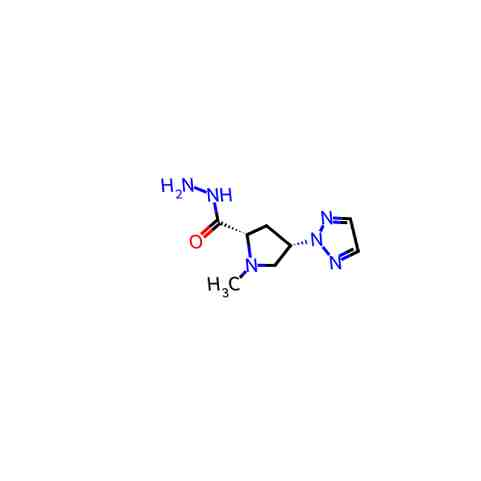 CN1C[C@@H](n2nccn2)C[C@H]1C(=O)NN